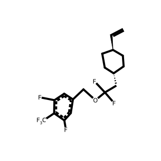 C=C[C@H]1CC[C@H](CC(F)(F)OCc2cc(F)c(C(F)(F)F)c(F)c2)CC1